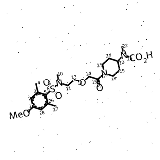 COc1cc(C)c(S(=O)(=O)N(C)CCOCC(=O)N2CCC(N(C)C(=O)O)CC2)c(C)c1